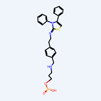 O=[PH](O)OCCCNCc1ccc(CC/N=c2\scc(-c3ccccc3)n2-c2ccccc2)cc1